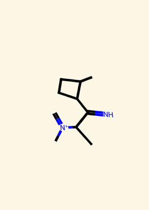 C=[N+](C)C(C)C(=N)C1CCC1C